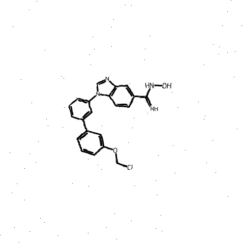 N=C(NO)c1ccc2c(c1)ncn2-c1cccc(-c2cccc(OCCl)c2)c1